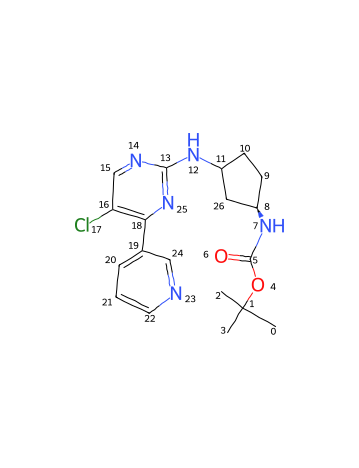 CC(C)(C)OC(=O)N[C@@H]1CCC(Nc2ncc(Cl)c(-c3cccnc3)n2)C1